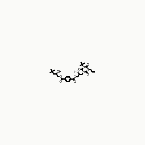 C=CCn1c(=O)n(CC(O)COC(=O)c2ccc(C(=O)OCC(O)CC(C)(C)C)cc2)c(=O)n(C(C)(C)C)c1=O